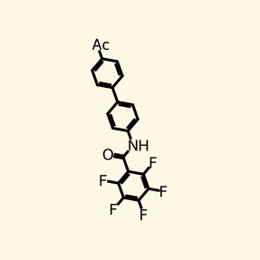 CC(=O)c1ccc(-c2ccc(NC(=O)c3c(F)c(F)c(F)c(F)c3F)cc2)cc1